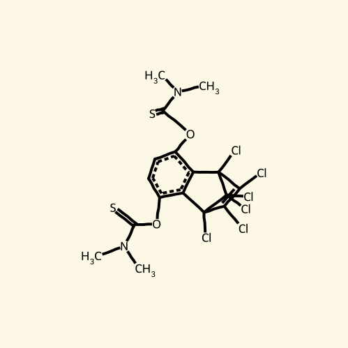 CN(C)C(=S)Oc1ccc(OC(=S)N(C)C)c2c1C1(Cl)C(Cl)=C(Cl)C2(Cl)C1(Cl)Cl